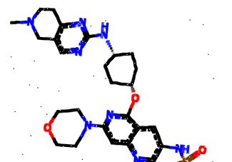 CN1CCc2nc(N[C@H]3CC[C@@H](Oc4nc(N5CCOCC5)cc5ncc(NS(C)(=O)=O)cc45)CC3)ncc2C1